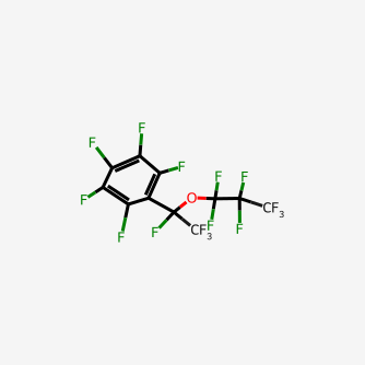 Fc1c(F)c(F)c(C(F)(OC(F)(F)C(F)(F)C(F)(F)F)C(F)(F)F)c(F)c1F